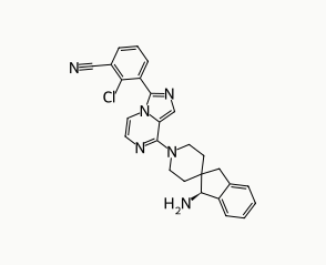 N#Cc1cccc(-c2ncc3c(N4CCC5(CC4)Cc4ccccc4[C@H]5N)nccn23)c1Cl